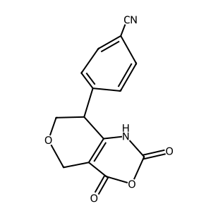 N#Cc1ccc(C2COCc3c2[nH]c(=O)oc3=O)cc1